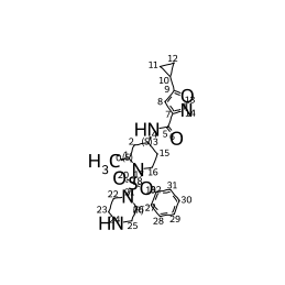 C[C@H]1C[C@@H](NC(=O)c2cc(C3CC3)on2)CCN1S(=O)(=O)N1CCNC[C@H]1c1ccccc1